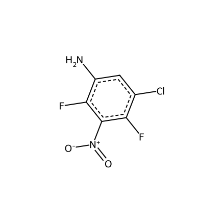 Nc1cc(Cl)c(F)c([N+](=O)[O-])c1F